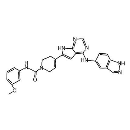 COc1cccc(NC(=O)N2CC=C(c3cc4c(Nc5ccc6[nH]ncc6c5)ncnc4[nH]3)CC2)c1